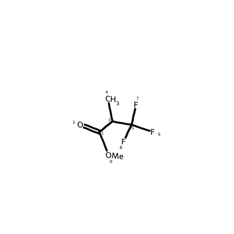 COC(=O)C(C)C(F)(F)F